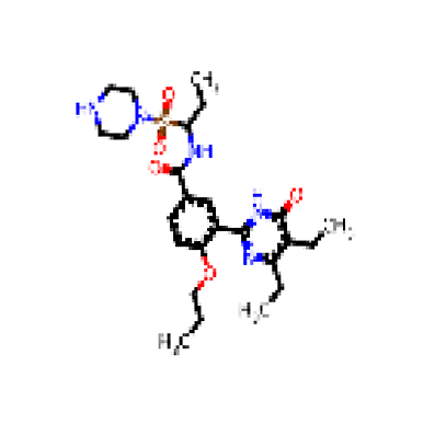 CCCOc1ccc(C(=O)NC(CC)S(=O)(=O)N2CCNCC2)cc1-c1nc(CC)c(CC)c(=O)[nH]1